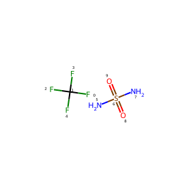 FC(F)(F)F.NS(N)(=O)=O